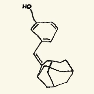 Oc1cccc(C=C2C3CC4CC(C3)CC2C4)c1